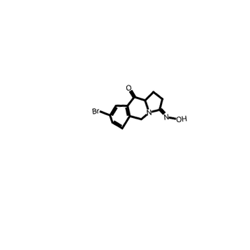 O=C1c2cc(Br)ccc2CN2/C(=N/O)CCC12